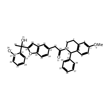 COc1ccc2c(c1)CCN(C(=O)Cc1ccc3oc(C(C)(O)c4cccc[n+]4[O-])cc3c1)C2c1ccccc1